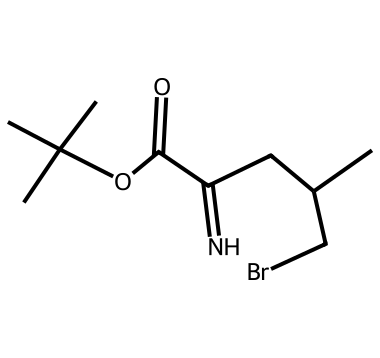 CC(CBr)CC(=N)C(=O)OC(C)(C)C